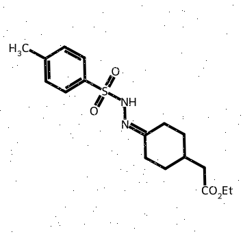 CCOC(=O)CC1CCC(=NNS(=O)(=O)c2ccc(C)cc2)CC1